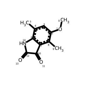 COc1cc(C)c2c(c1C)C(=O)C(=O)N2